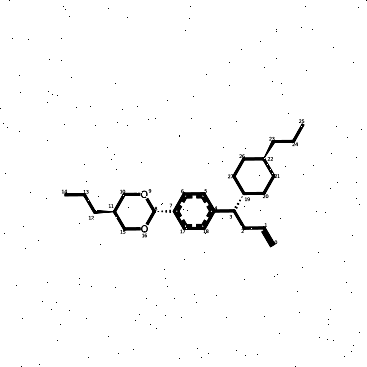 C=CCC(c1ccc([C@H]2OC[C@H](CCC)CO2)cc1)[C@H]1CC[C@H](CCC)CC1